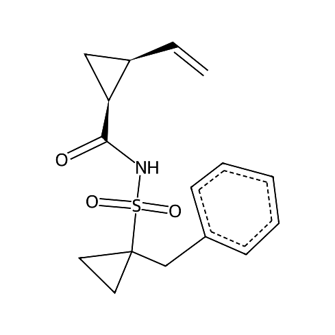 C=C[C@@H]1C[C@@H]1C(=O)NS(=O)(=O)C1(Cc2ccccc2)CC1